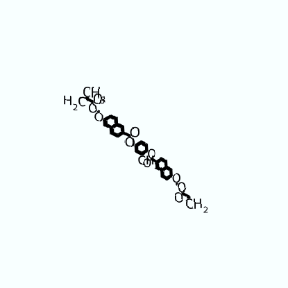 C=CC(=O)OCOc1ccc2cc(C(=O)Oc3ccc(OC(=O)c4ccc5cc(OCOC(=O)C(=C)C)ccc5c4)cc3C)ccc2c1